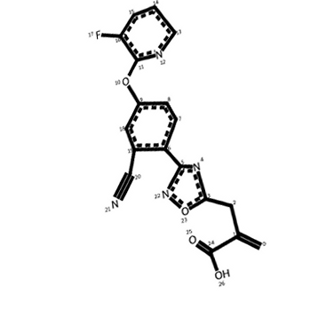 C=C(Cc1nc(-c2ccc(Oc3ncccc3F)cc2C#N)no1)C(=O)O